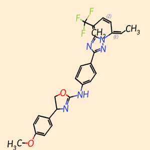 C=C(/C=C\C(=C/C)n1cnc(-c2ccc(NC3=NC(c4ccc(OC)cc4)CO3)cc2)n1)C(F)(F)F